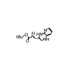 CC(C)(C)OC(=O)NC[C@H]1CNc2cccnc2N1